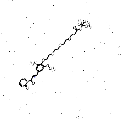 COc1cc(/C=C/C(=O)N2CCC=CC2=O)cc(C)c1OCCOCCOCCOCCC(=O)OC(C)(C)C